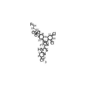 Cc1c(C(=S)Nc2ccc(C(F)(F)F)cn2)nc(-c2ccc(Cl)cc2Cl)n1-c1ccc(OS(=O)(=O)CCCF)cc1